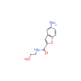 Nc1ccc2oc(C(=O)NCCO)cc2c1